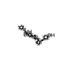 O=C(NSCc1ccccc1)c1ccc(N2CCN(Cc3ccccc3C#CC3=CC=C(O)CC3)CC2)cc1